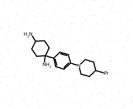 CC(C)C1CCN(c2ccc(C3(N)CCC(N)CC3)cc2)CC1